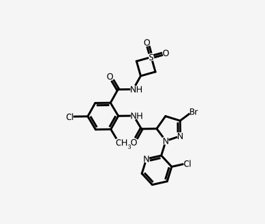 Cc1cc(Cl)cc(C(=O)NC2CS(=O)(=O)C2)c1NC(=O)C1CC(Br)=NN1c1ncccc1Cl